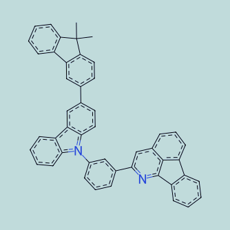 CC1(C)c2ccccc2-c2cc(-c3ccc4c(c3)c3ccccc3n4-c3cccc(-c4cc5cccc6c5c(n4)-c4ccccc4-6)c3)ccc21